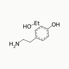 CCO.NCCc1ccc(O)cc1